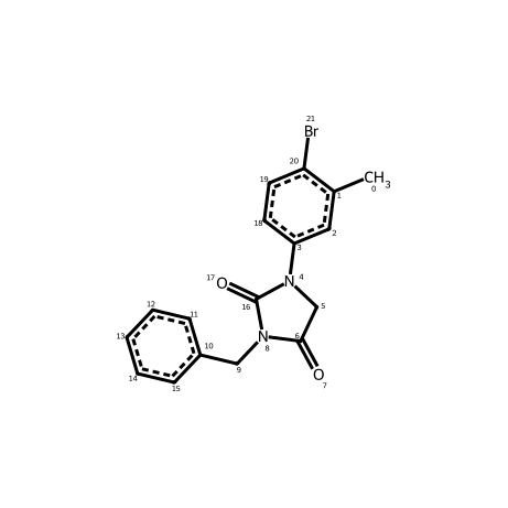 Cc1cc(N2CC(=O)N(Cc3ccccc3)C2=O)ccc1Br